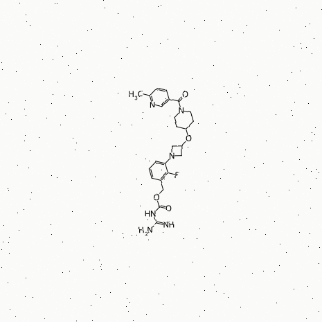 Cc1ccc(C(=O)N2CCC(OC3CN(c4cccc(COC(=O)NC(=N)N)c4F)C3)CC2)cn1